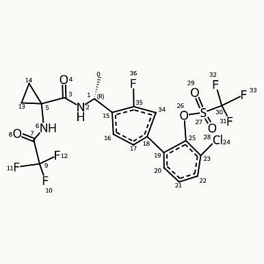 C[C@@H](NC(=O)C1(NC(=O)C(F)(F)F)CC1)c1ccc(-c2cccc(Cl)c2OS(=O)(=O)C(F)(F)F)cc1F